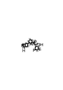 O=C(NC(CO)c1cc(F)cc(F)c1)c1cccc(-c2ccc3[nH]ncc3c2)c1